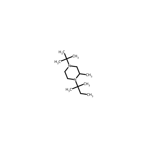 CCC(C)(C)N1CCN(C(C)(C)C)CC1C